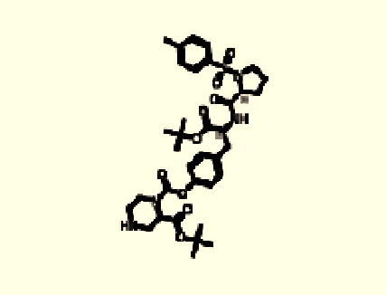 Cc1ccc(S(=O)(=O)N2CCC[C@H]2C(=O)N[C@@H](Cc2ccc(OC(=O)N3CCNCC3C(=O)OC(C)(C)C)cc2)C(=O)OC(C)(C)C)cc1